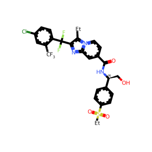 CCc1c(C(F)(F)c2ccc(Cl)cc2C(F)(F)F)nc2cc(C(=O)N[C@@H](CO)c3ccc(S(=O)(=O)CC)cc3)ccn12